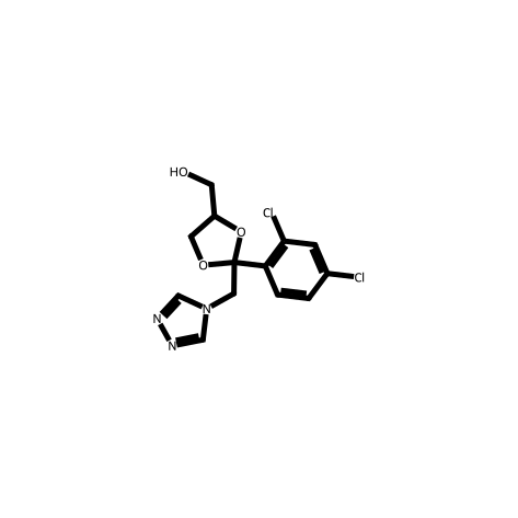 OCC1COC(Cn2cnnc2)(c2ccc(Cl)cc2Cl)O1